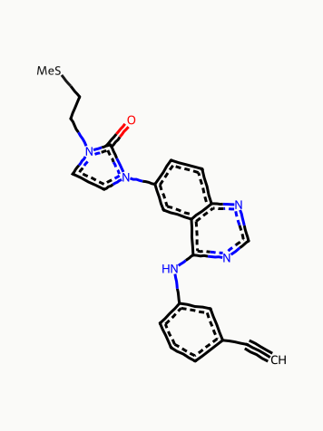 C#Cc1cccc(Nc2ncnc3ccc(-n4ccn(CCSC)c4=O)cc23)c1